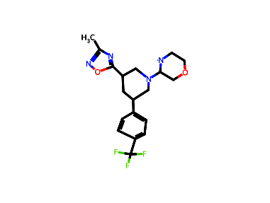 Cc1noc(C2CC(c3ccc(C(F)(F)F)cc3)CN(C3COCC[N]3)C2)n1